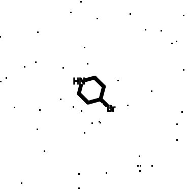 Br[C]1CCNCC1